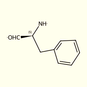 [NH][C@H]([C]=O)Cc1ccccc1